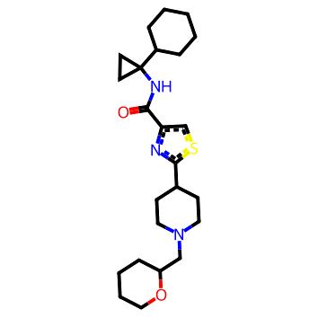 O=C(NC1(C2CCCCC2)CC1)c1csc(C2CCN(CC3CCCCO3)CC2)n1